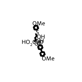 COc1ccc(SCC(O)CC(NS(=O)(=O)c2ccc(-c3ccc(OC)cc3)cc2)C(=O)O)cc1